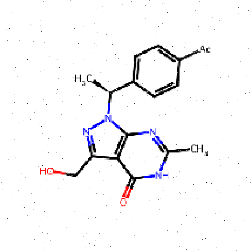 CC(=O)c1ccc([C@H](C)n2nc(CO)c3c(=O)[nH]c(C)nc32)cc1